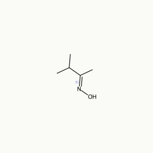 C/C(=N\O)C(C)C